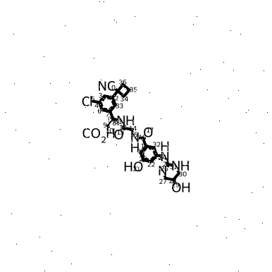 N#CC1(c2cc(Cl)cc([C@H](CC(=O)O)NC(=O)CNC(=O)c3cc(O)cc(NC4=NCC(O)CN4)c3)c2)CCC1